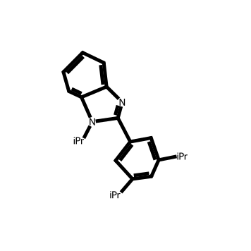 CC(C)c1cc(-c2nc3ccccc3n2C(C)C)cc(C(C)C)c1